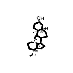 CO[C@@H]1CCC[C@]23CCC4C(CC[C@H]5C[C@H](O)CC[C@]45C)C2CCC13